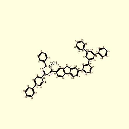 C=N/C(=N\C(=N/Cc1ccccc1)c1ccc(-c2ccccc2)cc1)c1ccc2c(c1)Cc1cc(-c3cccc(-c4cc(-c5ccccc5)cc(-c5ccccc5)c4)c3)ccc1-2